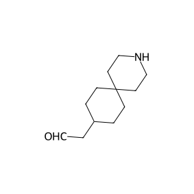 O=CCC1CCC2(CCNCC2)CC1